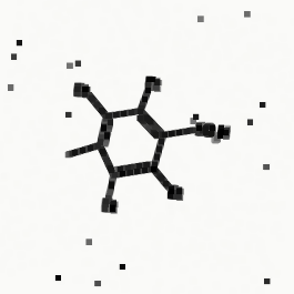 CCc1c(C)c(CC)c(CC)c(S(=O)(=O)O)c1CC